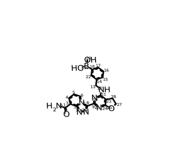 NC(=O)c1cccn2c(-c3nc(NCc4cccc(B(O)O)c4)c4c(n3)OCC4)nnc12